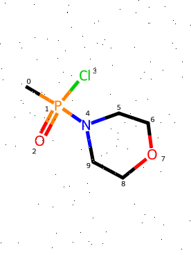 CP(=O)(Cl)N1CCOCC1